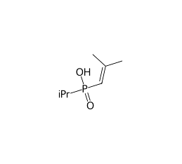 CC(C)=CP(=O)(O)C(C)C